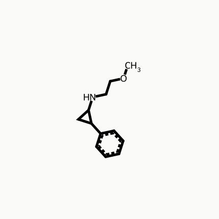 COCCNC1CC1c1ccccc1